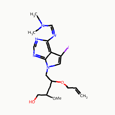 C=CCOC(Cn1cc(I)c2c(/N=C\N(C)C)ncnc21)C(CO)OC